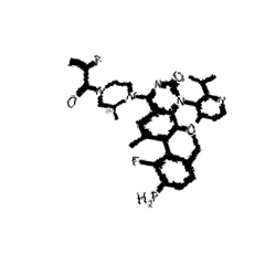 C=C(F)C(=O)N1CCN(c2nc(=O)n(-c3c(C)ccnc3C(C)C)c3c4c(c(C)cc23)-c2c(ccc(P)c2F)CO4)[C@@H](C)C1